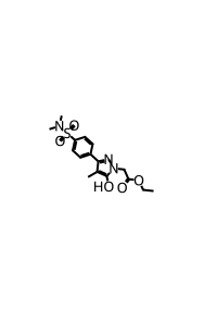 CCOC(=O)Cn1nc(-c2ccc(S(=O)(=O)N(C)C)cc2)c(C)c1O